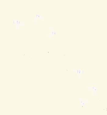 CCc1nc(-c2cccc(Nc3nc(C#N)ns3)c2)c2c(C(=O)O)c[nH]c2n1